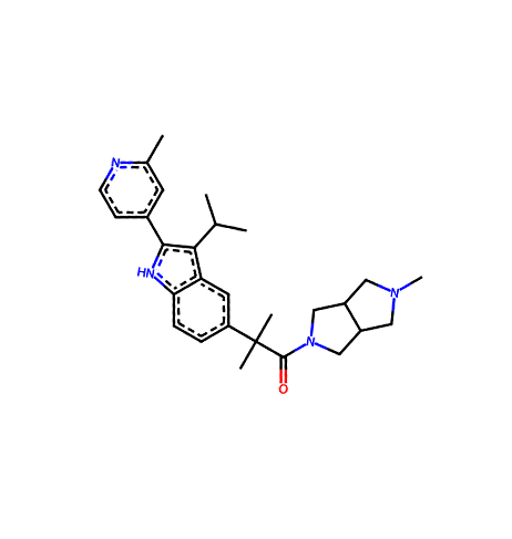 Cc1cc(-c2[nH]c3ccc(C(C)(C)C(=O)N4CC5CN(C)CC5C4)cc3c2C(C)C)ccn1